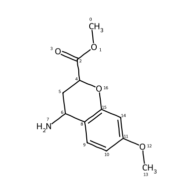 COC(=O)C1CC(N)c2ccc(OC)cc2O1